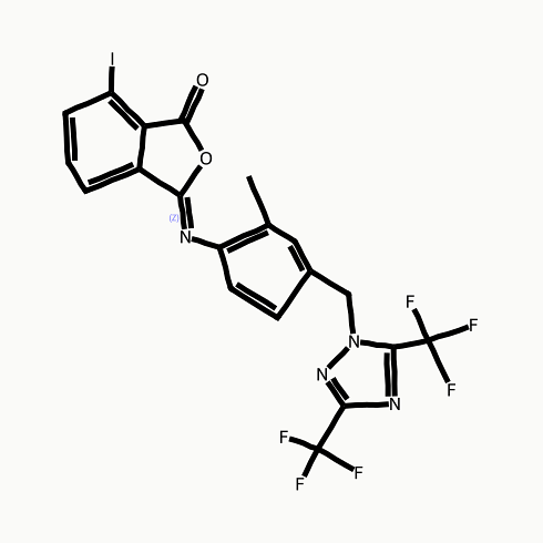 Cc1cc(Cn2nc(C(F)(F)F)nc2C(F)(F)F)ccc1/N=C1\OC(=O)c2c(I)cccc21